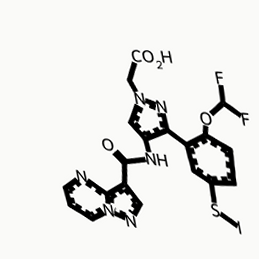 O=C(O)Cn1cc(NC(=O)c2cnn3cccnc23)c(-c2cc(SI)ccc2OC(F)F)n1